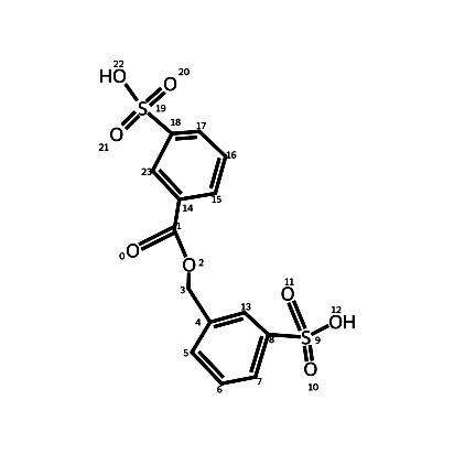 O=C(OCc1cccc(S(=O)(=O)O)c1)c1cccc(S(=O)(=O)O)c1